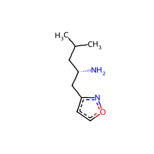 CC(C)C[C@H](N)Cc1ccon1